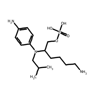 CC(C)CN(c1ccc(N)cc1)C(CCCCN)COP(=O)(O)O